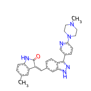 Cc1ccc2c(c1)C(=Cc1ccc3c(-c4ccc(N5CCN(C)CC5)nc4)n[nH]c3c1)C(=O)N2